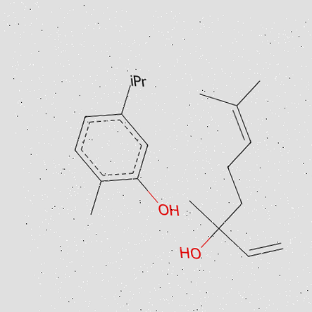 C=CC(C)(O)CCC=C(C)C.Cc1ccc(C(C)C)cc1O